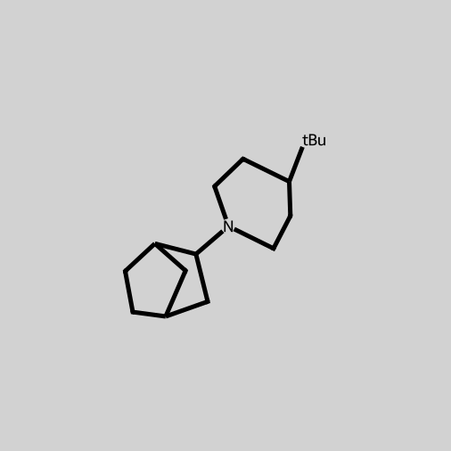 CC(C)(C)C1CCN(C2CC3CCC2C3)CC1